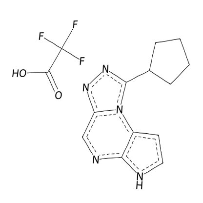 O=C(O)C(F)(F)F.c1cc2c(ncc3nnc(C4CCCC4)n32)[nH]1